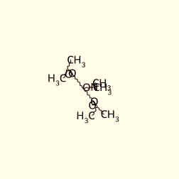 CCCCCC(CCCCC)CC(=O)OCCCCCCCCCC(CCCCCCCOC(=O)CC(CCCCC)CCCCC)OCCCN(C)CC